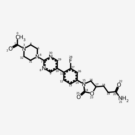 CC(=O)N1CCN(c2ncc(-c3ccc(N4CC(CCC(N)=O)OC4=O)cc3F)cn2)CC1